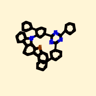 c1ccc(-c2cccc(-c3nc(-c4ccccc4)nc(-c4ccc(-c5ccccc5)c(-n5c6ccccc6c6ccc7c8ccccc8sc7c65)c4)n3)c2)cc1